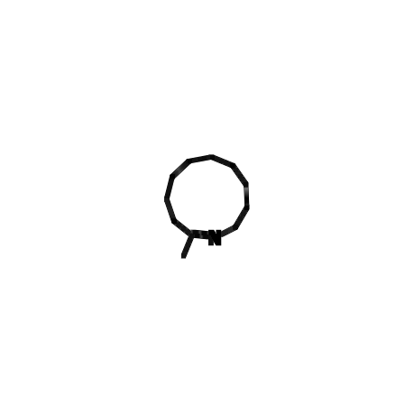 C/C1=N/CCCCCCCCC1